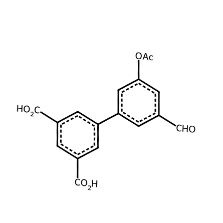 CC(=O)Oc1cc(C=O)cc(-c2cc(C(=O)O)cc(C(=O)O)c2)c1